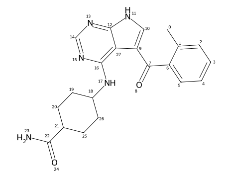 Cc1ccccc1C(=O)c1c[nH]c2ncnc(NC3CCC(C(N)=O)CC3)c12